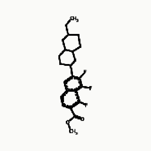 CCC1CCC2CC(c3cc4ccc(C(=O)OC)c(F)c4c(F)c3F)CCC2C1